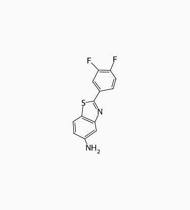 Nc1ccc2sc(-c3ccc(F)c(F)c3)nc2c1